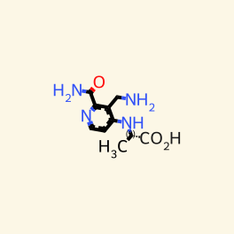 C[C@H](Nc1ccnc(C(N)=O)c1CN)C(=O)O